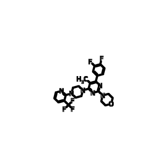 Cc1c(-c2ccc(F)c(F)c2)nc(N2CCOCC2)nc1N1CCN(c2ncccc2C(F)(F)F)CC1